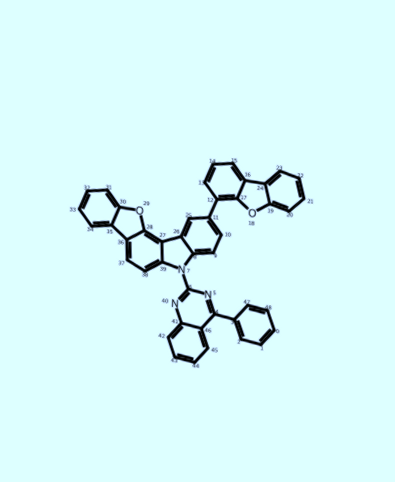 c1ccc(-c2nc(-n3c4ccc(-c5cccc6c5oc5ccccc56)cc4c4c5oc6ccccc6c5ccc43)nc3ccccc23)cc1